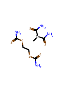 NC(=S)SCCSC(N)=S.[CH3][Zn]([C](N)=S)[C](N)=S